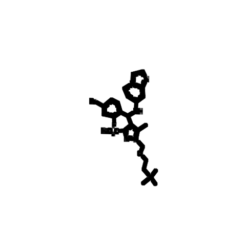 CCOC(=O)c1nn(COCC[Si](C)(C)C)c(C)c1C(Nc1ccn2ccnc2c1)c1ccc(Br)cc1F